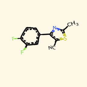 Cc1nc(-c2ccc(F)c(F)c2)c(C#N)s1